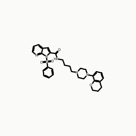 O=C(NCCCCN1CCN(c2cccc3c2OCCC3)CC1)c1cc2cccnc2n1S(=O)(=O)c1ccccc1